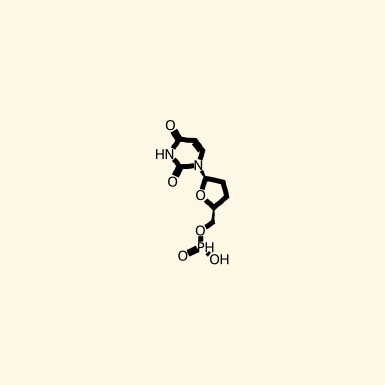 O=c1ccn([C@H]2CC[C@@H](CO[PH](=O)O)O2)c(=O)[nH]1